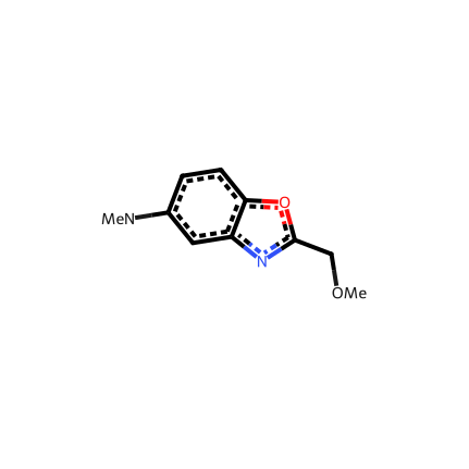 CNc1ccc2oc(COC)nc2c1